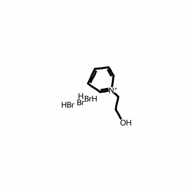 Br.Br.Br.OCC[n+]1ccccc1